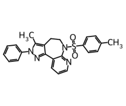 Cc1ccc(S(=O)(=O)N2CCc3c(nn(-c4ccccc4)c3C)-c3cccnc32)cc1